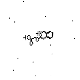 O=C(O)COC1Cc2ccccc2CN1